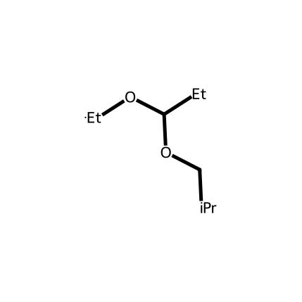 C[CH]OC(CC)OCC(C)C